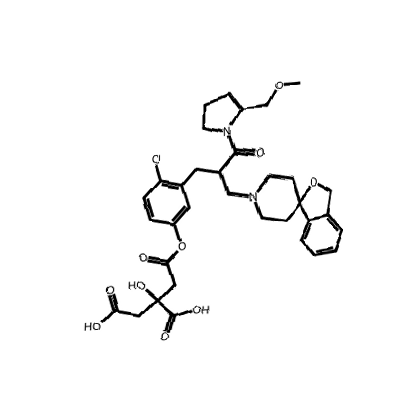 COC[C@@H]1CCCN1C(=O)C(Cc1cc(OC(=O)CC(O)(CC(=O)O)C(=O)O)ccc1Cl)CN1CCC2(CC1)OCc1ccccc12